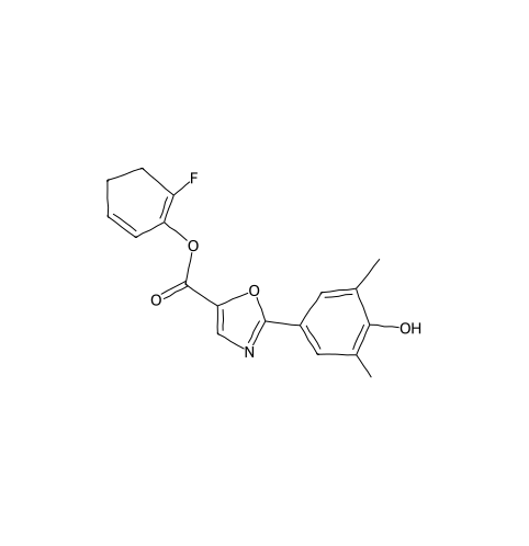 Cc1cc(-c2ncc(C(=O)OC3=C(F)CCC=C3)o2)cc(C)c1O